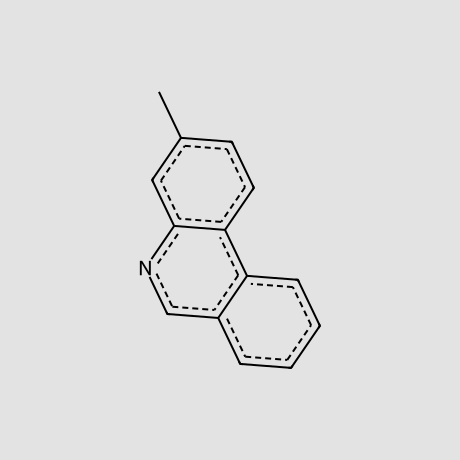 Cc1ccc2c(c1)ncc1ccccc12